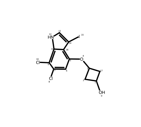 OC1CC(Oc2cc(Cl)c(Cl)c3[nH]cc(I)c23)C1